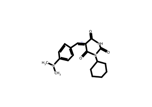 CN(C)c1ccc(/C=C2/C(=O)NC(=O)N(C3CCCCC3)C2=O)cc1